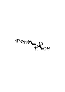 CCCCCCCCOC(=O)CO.[Ti]